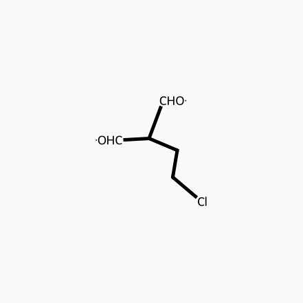 O=[C]C([C]=O)CCCl